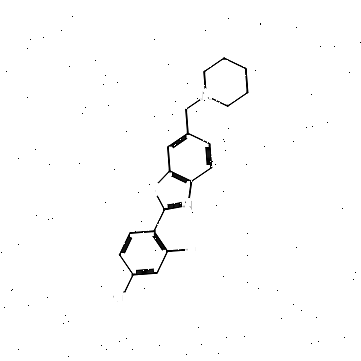 Oc1cc(Cl)ccc1-c1nc2ccc(CN3CCCCC3)cc2s1